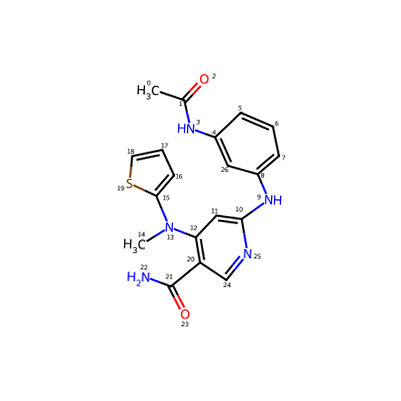 CC(=O)Nc1cccc(Nc2cc(N(C)c3cccs3)c(C(N)=O)cn2)c1